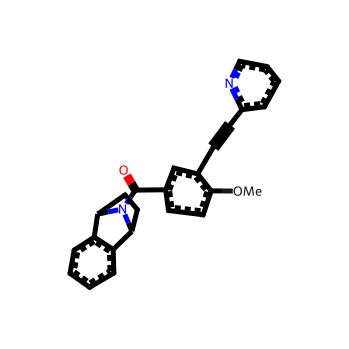 COc1ccc(C(=O)N2C3CCC2c2ccccc23)cc1C#Cc1ccccn1